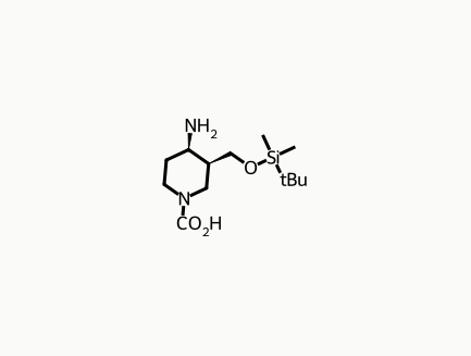 CC(C)(C)[Si](C)(C)OC[C@H]1CN(C(=O)O)CC[C@H]1N